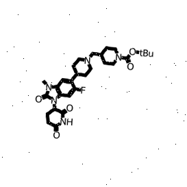 Cn1c(=O)n(C2CCC(=O)NC2=O)c2cc(F)c(C3CCN(CC4CCN(C(=O)OC(C)(C)C)CC4)CC3)cc21